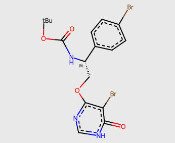 CC(C)(C)OC(=O)N[C@@H](COc1nc[nH]c(=O)c1Br)c1ccc(Br)cc1